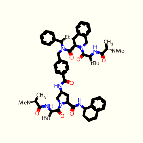 CCC(c1ccccc1)N(Cc1ccc(C(=O)NC2CC(C(=O)NC3CCCc4ccccc43)N(C(=O)C(NC(=O)[C@H](C)NC)C(C)(C)C)C2)cc1)C(=O)C1Cc2ccccc2CN1C(=O)C(NC(=O)[C@H](C)NC)C(C)(C)C